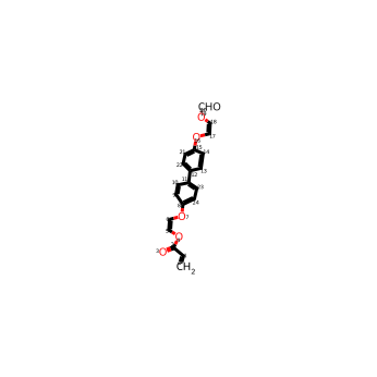 C=CC(=O)O/C=C\Oc1ccc(-c2ccc(O/C=C\OC=O)cc2)cc1